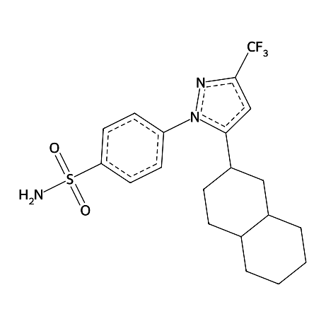 NS(=O)(=O)c1ccc(-n2nc(C(F)(F)F)cc2C2CCC3CCCCC3C2)cc1